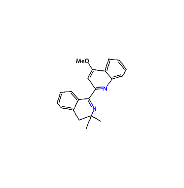 COc1cc(C2=NC(C)(C)Cc3ccccc32)nc2ccccc12